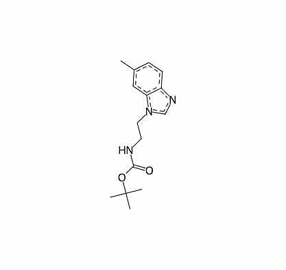 Cc1ccc2ncn(CCNC(=O)OC(C)(C)C)c2c1